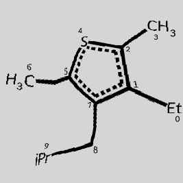 CCc1c(C)sc(C)c1CC(C)C